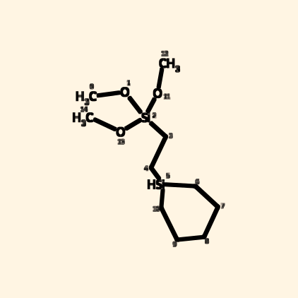 CO[Si](CC[SiH]1CCCCC1)(OC)OC